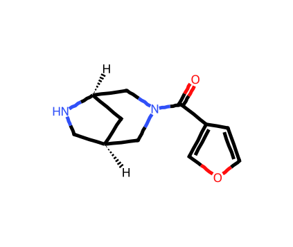 O=C(c1ccoc1)N1C[C@H]2CN[C@H](C2)C1